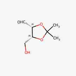 CC1(C)O[C@@H](C=O)[C@@H](CO)O1